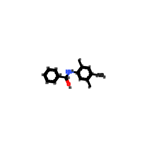 Cc1cc([N+](=O)[O-])c(C)cc1NC(=O)c1ccccc1